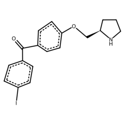 O=C(c1ccc(I)cc1)c1ccc(OC[C@H]2CCCN2)cc1